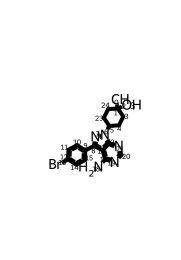 CC1(O)CCC(n2nc(-c3ccc(Br)cc3)c3c(N)ncnc32)CC1